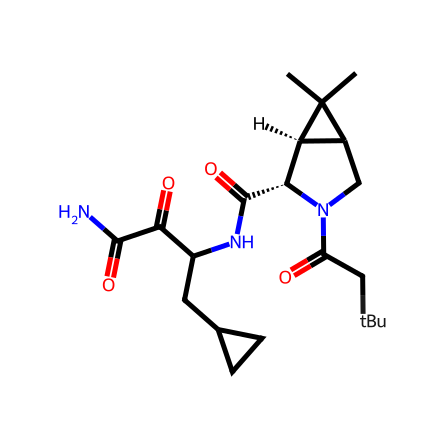 CC(C)(C)CC(=O)N1CC2[C@@H]([C@H]1C(=O)NC(CC1CC1)C(=O)C(N)=O)C2(C)C